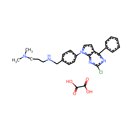 CN(C)CCCNCc1ccc(-n2ccc3c(-c4ccccc4)nc(Cl)nc32)cc1.O=C(O)C(=O)O